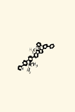 CC1(C)c2cc(-c3ccc4c(c3)C(C)(C)c3cc(-c5cc(-c6ccccc6)ccc5-c5ccccc5)ccc3-4)ccc2-c2ccc(-c3ccccn3)cc21